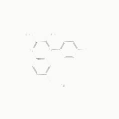 CCCCC(=Nc1ccc(CCCC)cc1)C(CCCC)=Nc1ccc(CCCC)cc1.[Ni]